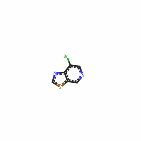 Brc1cncc2scnc12